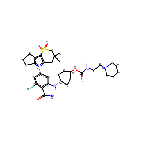 CC1(C)Cc2c(c3c(n2-c2cc(F)c(C(N)=O)c(N[C@H]4CC[C@H](OC(=O)NCCN5CCCCC5)CC4)c2)CCC3)S(=O)(=O)C1